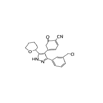 N#CC1=CC=C(c2c(-c3cccc(CCl)c3)n[nH]c2C2CCCCO2)CC1=O